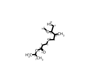 CC(C)OC(=O)CCSCC(C)C(CS)OI